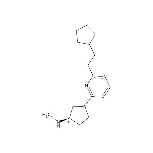 CN[C@@H]1CCN(c2ccnc(CCC3CCCC3)n2)C1